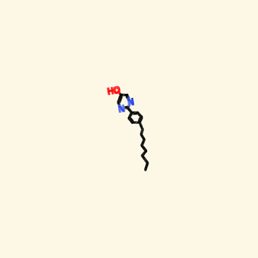 CCCCCCCCc1ccc(-c2ncc(O)cn2)cc1